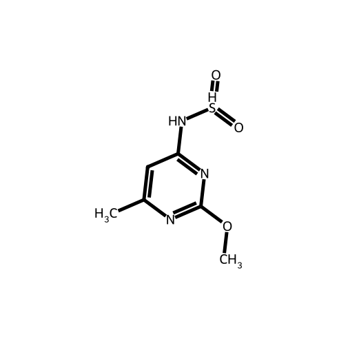 COc1nc(C)cc(N[SH](=O)=O)n1